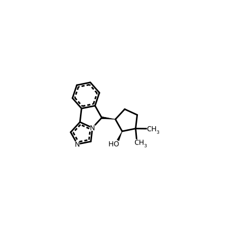 CC1(C)CC[C@H](C2c3ccccc3-c3cncn32)[C@@H]1O